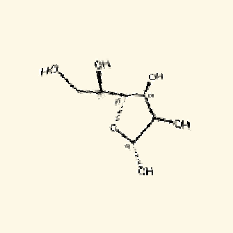 OC[C@@H](O)[C@H]1O[C@@H](O)C(O)[C@@H]1O